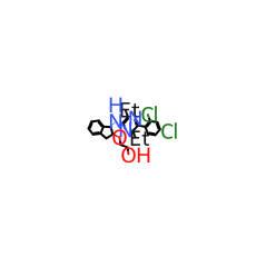 CCc1nc(-c2ccc(Cl)cc2Cl)c(CC)nc1N[C@H]1c2ccccc2C[C@@H]1OCCO